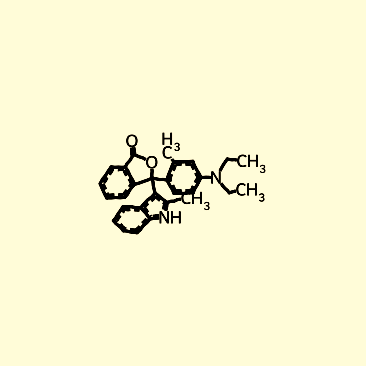 CCN(CC)c1ccc(C2(c3c(C)[nH]c4ccccc34)OC(=O)c3ccccc32)c(C)c1